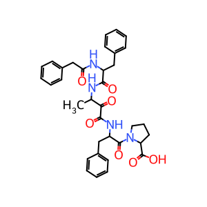 CC(NC(=O)C(Cc1ccccc1)NC(=O)Cc1ccccc1)C(=O)C(=O)NC(Cc1ccccc1)C(=O)N1CCCC1C(=O)O